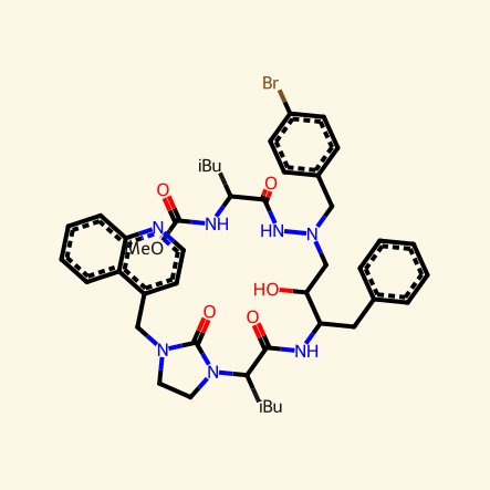 CCC(C)C(NC(=O)OC)C(=O)NN(Cc1ccc(Br)cc1)CC(O)C(Cc1ccccc1)NC(=O)C(C(C)CC)N1CCN(Cc2ccnc3ccccc23)C1=O